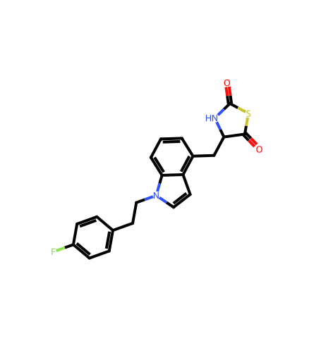 O=C1NC(Cc2cccc3c2ccn3CCc2ccc(F)cc2)C(=O)S1